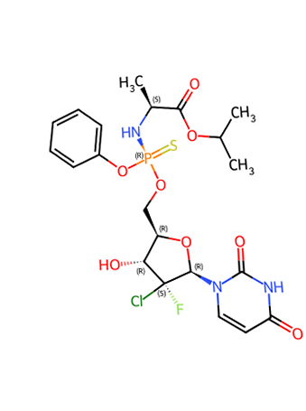 CC(C)OC(=O)[C@H](C)N[P@@](=S)(OC[C@H]1O[C@@H](n2ccc(=O)[nH]c2=O)[C@@](F)(Cl)[C@@H]1O)Oc1ccccc1